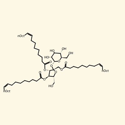 CCCCCCCC/C=C\CCCCCCCC(=O)OC[C@@]1(O[C@H]2O[C@H](CO)[C@@H](O)[C@H](O)[C@H]2O)O[C@H](CO)[C@@H](OC(=O)CCCCCCC/C=C\CCCCCCCC)[C@@H]1OC(=O)CCCCCCC/C=C\CCCCCCCC